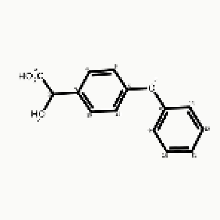 O=C(O)C(O)c1ccc(Oc2ccccc2)cc1